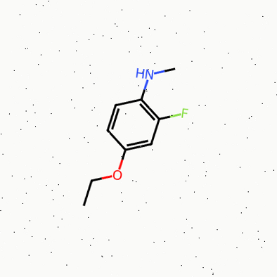 CCOc1ccc(NC)c(F)c1